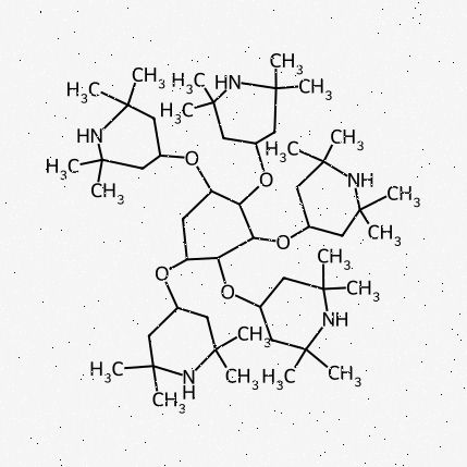 CC1(C)CC(OC2CC(OC3CC(C)(C)NC(C)(C)C3)C(OC3CC(C)(C)NC(C)(C)C3)C(OC3CC(C)(C)NC(C)(C)C3)C2OC2CC(C)(C)NC(C)(C)C2)CC(C)(C)N1